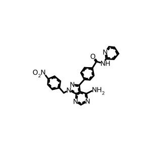 Nc1ncnc2c1c(-c1ccc(C(=O)Nc3ccccn3)cc1)nn2Cc1ccc([N+](=O)[O-])cc1